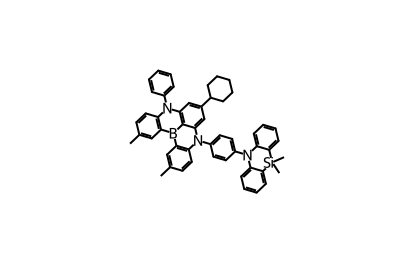 Cc1ccc2c(c1)B1c3cc(C)ccc3N(c3ccc(N4c5ccccc5[Si](C)(C)c5ccccc54)cc3)c3cc(C4CCCCC4)cc(c31)N2c1ccccc1